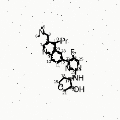 CC(C)c1c(CN(C)C)cnc2ccc(-c3nc(N[C@@H]4CCOC[C@H]4O)ncc3F)cc12